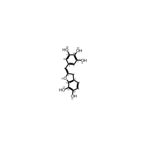 Oc1cc(C=C2Cc3ccc(O)c(O)c3O2)cc(O)c1O